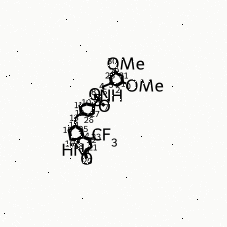 COc1cc(CNS(=O)(=O)c2ccc(Cc3ccc4[nH]c(=O)cc(C(F)(F)F)c4c3)cc2)cc(OC)c1